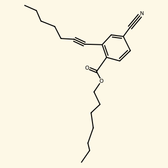 CCCCCC#Cc1cc(C#N)ccc1C(=O)OCCCCCCC